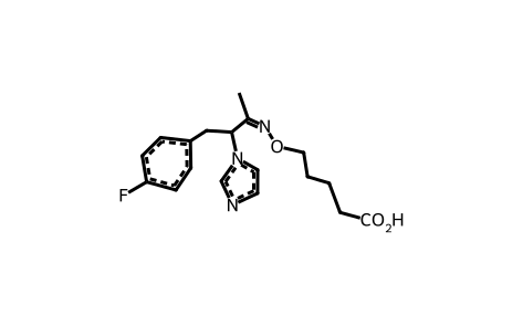 C/C(=N/OCCCCC(=O)O)C(Cc1ccc(F)cc1)n1ccnc1